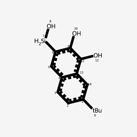 CC(C)(C)c1ccc2cc([SiH2]O)c(O)c(O)c2c1